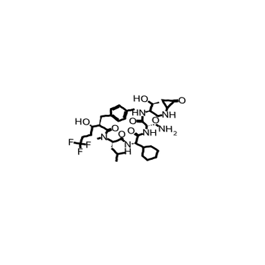 Cc1ccc(C[C@@H](C(=O)N(C)[C@@H](CC(C)C)C(=O)N[C@H](C(=O)N[C@@H](CN)C(=O)N[C@H](C(=O)NC2CC2=O)[C@H](C)O)C2CCCCC2)[C@H](O)CCC(F)(F)F)cc1